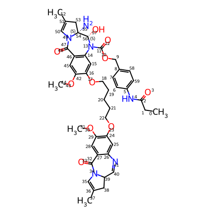 CCC(=O)Nc1ccc(COC(=O)N2c3cc(OCCCCCOc4cc5c(cc4OC)C(=O)N4C=C(C)CC4C=N5)c(OC)cc3C(=O)N3C=C(C)C[C@@]3(N)[C@@H]2O)cc1